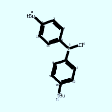 CC(C)(C)c1ccc(I(Cl)c2ccc(C(C)(C)C)cc2)cc1